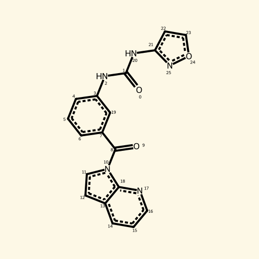 O=C(Nc1cccc(C(=O)n2ccc3cccnc32)c1)Nc1ccon1